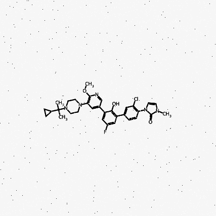 COc1ncc(-c2cc(F)cc(-c3ccc(-n4ccn(C)c4=O)c(Cl)c3)c2O)cc1N1CCN(C(C)(C)C2CC2)CC1